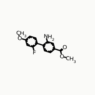 COC(=O)c1ccc(-c2ccc(OC)cc2F)c(N)c1